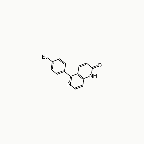 CCc1ccc(-c2nccc3[nH]c(=O)ccc23)cc1